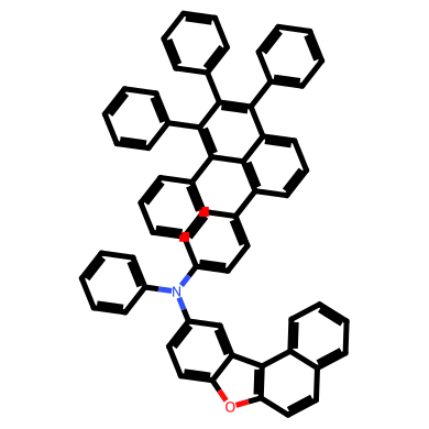 c1ccc(-c2c(-c3ccccc3)c(-c3ccccc3)c3c(-c4ccc(N(c5ccccc5)c5ccc6oc7ccc8ccccc8c7c6c5)cc4)cccc3c2-c2ccccc2)cc1